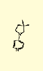 CC1(C)CCN(c2ccncc2)C1